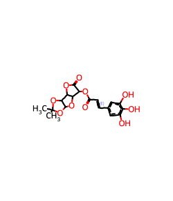 CC1(C)OC2OC3C(OC(=O)/C=C/c4cc(O)c(O)c(O)c4)C(=O)OC3C2O1